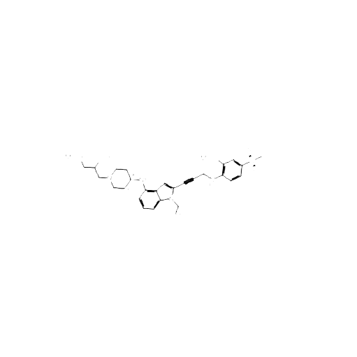 COCC(O)CN1CC[C@@H](Nc2cccc3c2cc(C#CCNc2ccc(S(C)(=O)=O)cc2OC)n3CC(F)(F)F)[C@H](F)C1